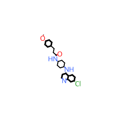 COc1ccc(CCC(=O)NC2CCC(Nc3ccnc4cc(Cl)ccc34)CC2)cc1